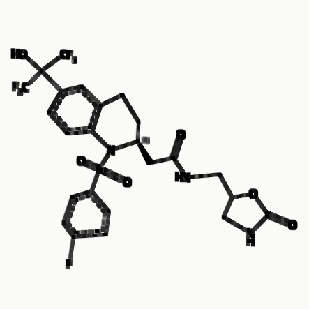 O=C(C[C@@H]1CCc2cc(C(O)(C(F)(F)F)C(F)(F)F)ccc2N1S(=O)(=O)c1ccc(F)cc1)NCC1CNC(=O)O1